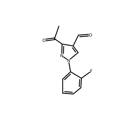 CC(=O)c1nn(-c2ccccc2F)cc1C=O